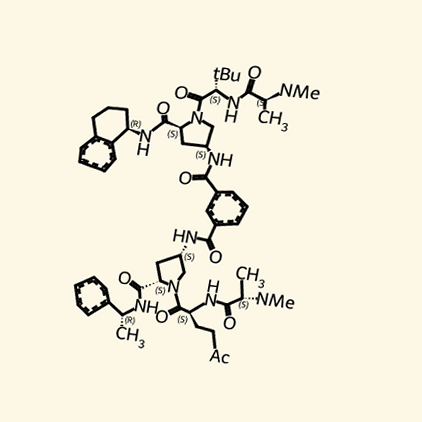 CN[C@@H](C)C(=O)N[C@@H](CCC(C)=O)C(=O)N1C[C@@H](NC(=O)c2cccc(C(=O)N[C@H]3C[C@@H](C(=O)N[C@@H]4CCCc5ccccc54)N(C(=O)[C@@H](NC(=O)[C@H](C)NC)C(C)(C)C)C3)c2)C[C@H]1C(=O)N[C@H](C)c1ccccc1